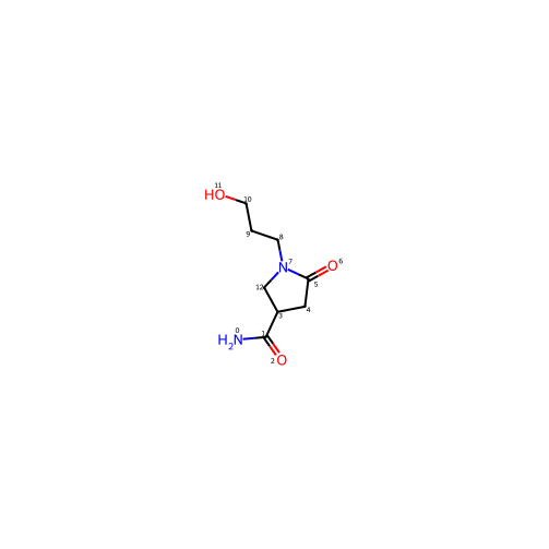 NC(=O)C1CC(=O)N(CCCO)C1